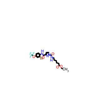 CCOC(=O)CCCCCNC(=O)n1ccc(C(=O)Nc2ccc(OC(F)(F)F)cc2Br)n1